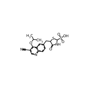 CC(C)Oc1c(C#N)cnc2ccc(CC3SC(S(=O)(=O)O)NC3=O)cc12